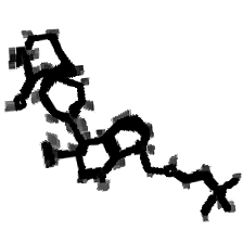 C[Si](C)(C)CCOCn1ccc2c(N3CCC4(CCCNC4=O)CC3)c(Br)cnc21